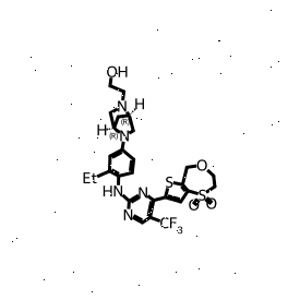 CCc1cc(N2C[C@H]3C[C@@H]2CN3CCO)ccc1Nc1ncc(C(F)(F)F)c(-c2cc3c(s2)COCCS3(=O)=O)n1